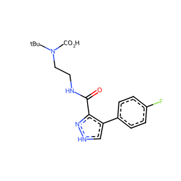 CC(C)(C)N(CCNC(=O)c1n[nH]cc1-c1ccc(F)cc1)C(=O)O